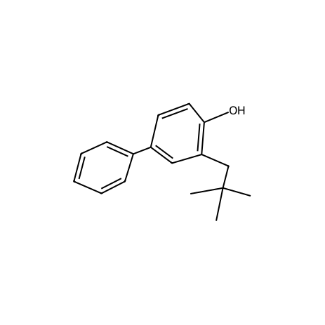 CC(C)(C)Cc1cc(-c2ccccc2)ccc1O